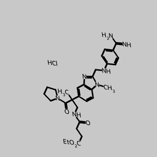 CCOC(=O)CCC(=O)NCC(C)(C(=O)N1CCCC1)c1ccc2c(c1)nc(CNc1ccc(C(=N)N)cc1)n2C.Cl